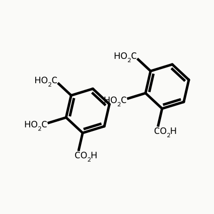 O=C(O)c1cccc(C(=O)O)c1C(=O)O.O=C(O)c1cccc(C(=O)O)c1C(=O)O